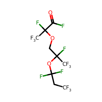 O=C(F)C(F)(OCC(F)(OC(F)(F)CC(F)(F)F)C(F)(F)F)C(F)(F)F